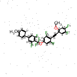 COc1cc(F)c(F)cc1C#Cc1c(F)cc(OC(F)(F)c2c(F)cc(-c3ccc(C)cc3)cc2F)cc1F